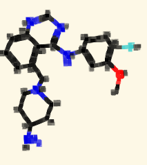 COc1cc(Nc2ncnc3cccc(CN4CCC(N)CC4)c23)ccc1F